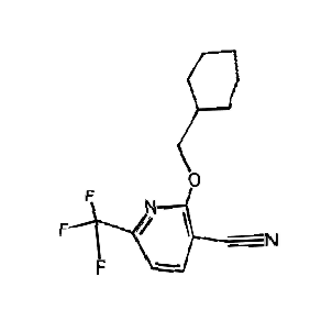 N#Cc1ccc(C(F)(F)F)nc1OCC1CCCCC1